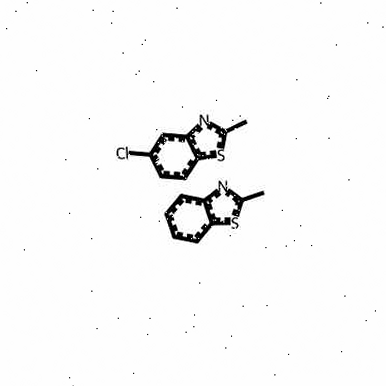 Cc1nc2cc(Cl)ccc2s1.Cc1nc2ccccc2s1